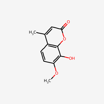 COc1ccc2c(C)cc(=O)oc2c1O